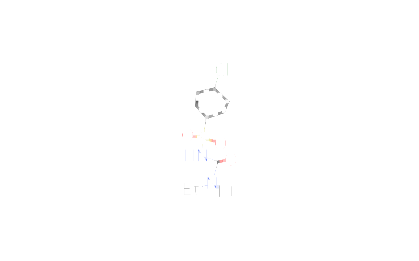 CCN(CC)C(=O)NS(=O)(=O)c1ccc(Cl)cc1